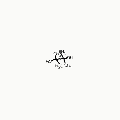 BC(C)(O)C(C)(C)O